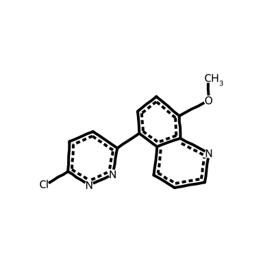 COc1ccc(-c2ccc(Cl)nn2)c2cccnc12